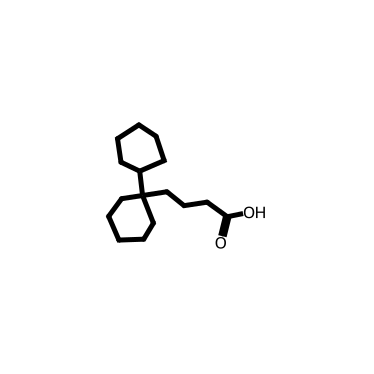 O=C(O)CCCC1(C2CCCCC2)CCCCC1